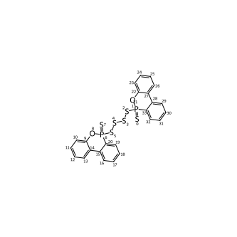 S=P1(SSSSP2(=S)Oc3ccccc3-c3ccccc32)Oc2ccccc2-c2ccccc21